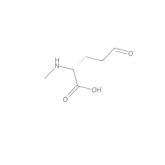 CN[C@H](CCC=O)C(=O)O